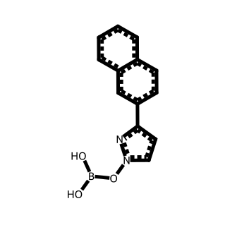 OB(O)On1ccc(-c2ccc3ccccc3c2)n1